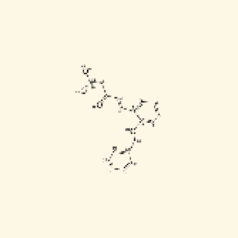 O=C(C=Cc1ccccc1OCc1ccccc1)C[N+](=O)[O-]